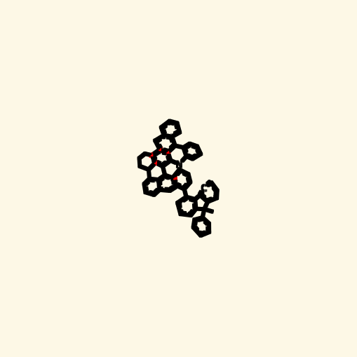 CC1(c2ccccc2)c2ccccc2-c2c(-c3ccc(N(c4ccccc4-c4cccc5ccccc45)c4ccccc4-c4cccc5cccc(C6CCCCC6)c45)cc3)cccc21